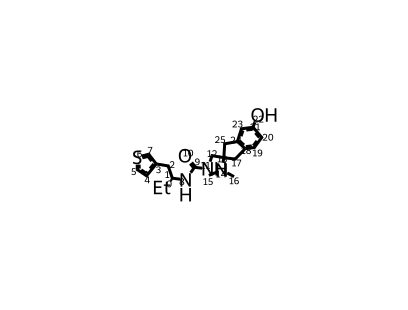 CC[C@@H](Cc1ccsc1)NC(=O)NCC1(N(C)C)Cc2ccc(O)cc2C1